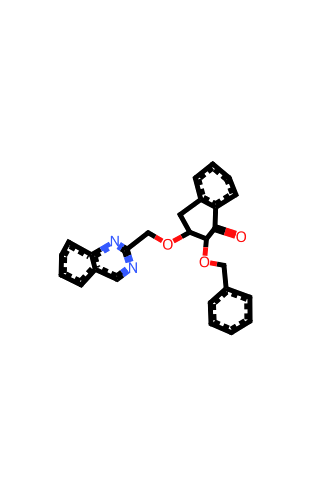 O=C1c2ccccc2CC(OCc2ncc3ccccc3n2)C1OCc1ccccc1